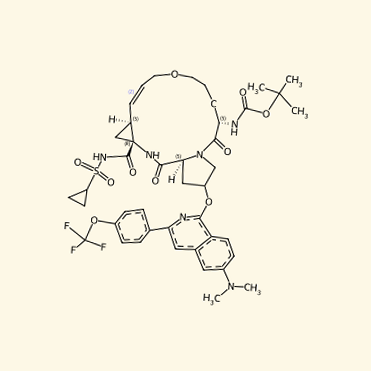 CN(C)c1ccc2c(OC3C[C@H]4C(=O)N[C@]5(C(=O)NS(=O)(=O)C6CC6)C[C@H]5/C=C\COCCC[C@H](NC(=O)OC(C)(C)C)C(=O)N4C3)nc(-c3ccc(OC(F)(F)F)cc3)cc2c1